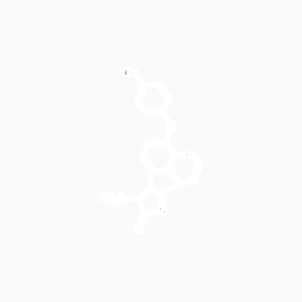 CCC(C)c1ccc(Oc2ccc3c4c(cccc24)C2=NC(=O)C(C(=O)O)=C23)cc1